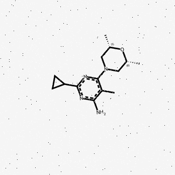 Cc1c(N)nc(C2CC2)nc1N1C[C@@H](C)O[C@@H](C)C1